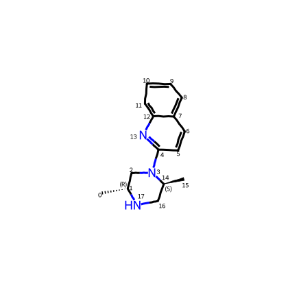 C[C@@H]1CN(c2ccc3ccccc3n2)[C@@H](C)CN1